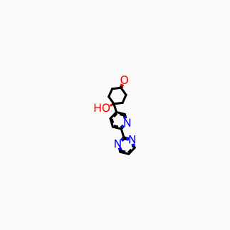 O=C1CCC(O)(c2ccc(-c3ncccn3)nc2)CC1